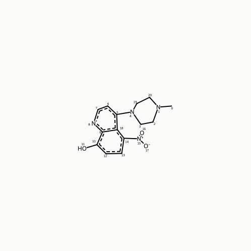 CN1CCN(c2ccnc3c(O)ccc([N+](=O)[O-])c23)CC1